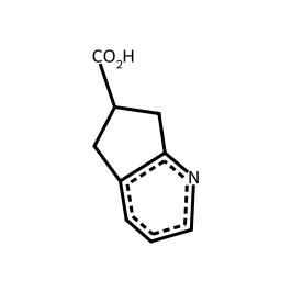 O=C(O)C1Cc2cccnc2C1